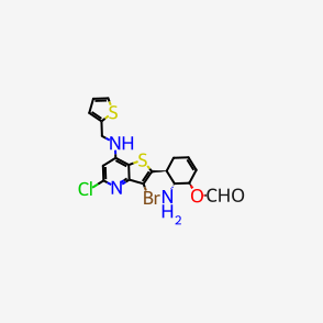 N[C@@H]1[C@@H](c2sc3c(NCc4cccs4)cc(Cl)nc3c2Br)CC=C[C@H]1OC=O